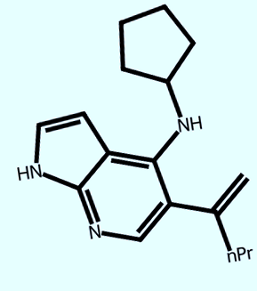 C=C(CCC)c1cnc2[nH]ccc2c1NC1CCCC1